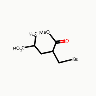 CCC(C)CC(CC(C)C(=O)O)C(=O)OC